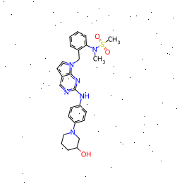 CN(c1ccccc1Cn1ccc2cnc(Nc3ccc(N4CCCC(O)C4)cc3)nc21)S(C)(=O)=O